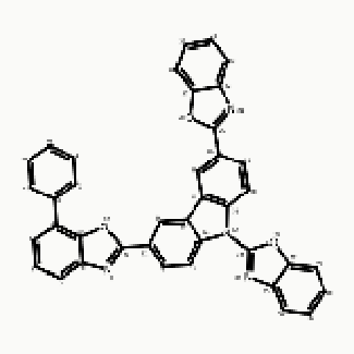 c1ccc(-c2cccc3nc(-c4ccc5c(c4)c4cc(-c6nc7ccccc7o6)ccc4n5-c4nc5ccccc5o4)oc23)cc1